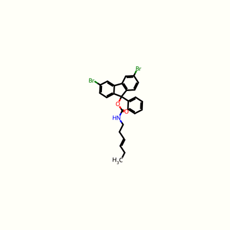 CCC=CCCNC(=O)OC1(c2ccccc2)c2ccc(Br)cc2-c2cc(Br)ccc21